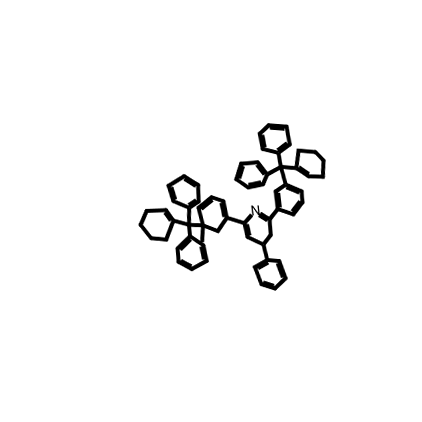 CC1(C(C2=CCCCC2)(c2ccccc2)c2ccccc2)C=CC=C(C2=CC(c3ccccc3)CC(c3cccc(C(C4=CCCCC4)(c4ccccc4)c4ccccc4)c3)=N2)C1